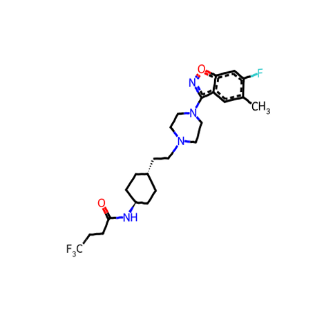 Cc1cc2c(N3CCN(CC[C@H]4CC[C@H](NC(=O)CCC(F)(F)F)CC4)CC3)noc2cc1F